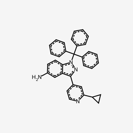 Nc1ccc2c(c1)c(-c1ccnc(C3CC3)c1)nn2C(c1ccccc1)(c1ccccc1)c1ccccc1